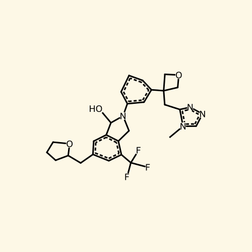 Cn1cnnc1CC1(c2cccc(N3Cc4c(cc(CC5CCCO5)cc4C(F)(F)F)C3O)c2)COC1